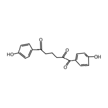 O=C(CCCC(=O)c1ccc(O)cc1)C(=O)c1ccc(O)cc1